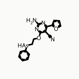 N#Cc1c(OCC[AsH]c2ccccc2)nc(N)nc1-c1ccco1